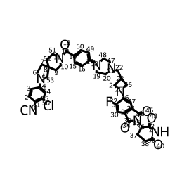 N#Cc1ccc(N2CCC3(CCN(C(=O)c4ccc(N5CCN(CC6CN(c7cc8c(cc7F)C(=O)N(C7CCC(=O)NC7=O)C8=O)C6)CC5)cc4)CC3)C2)cc1Cl